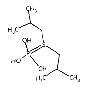 CC(C)CS(CC(C)C)=P(O)(O)O